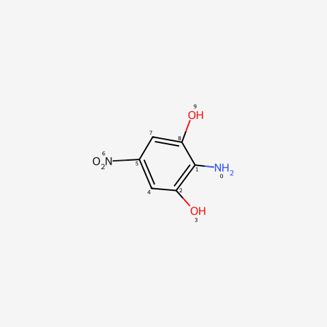 Nc1c(O)cc([N+](=O)[O-])cc1O